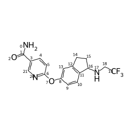 NC(=O)c1ccc(Oc2ccc3c(c2)CCC3NCC(F)(F)F)nc1